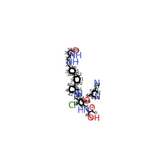 CC(=O)C(CO)NCc1cc(Cl)c(Cn2ncc3c(-c4cccc(-c5ccc(CNCC6CCC(=O)N6)cc5)c4)cccc32)cc1OCc1cncc(C#N)c1